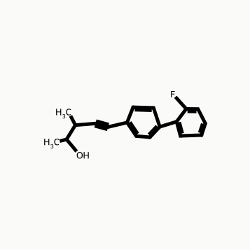 CC(O)C(C)C#Cc1ccc(-c2ccccc2F)cc1